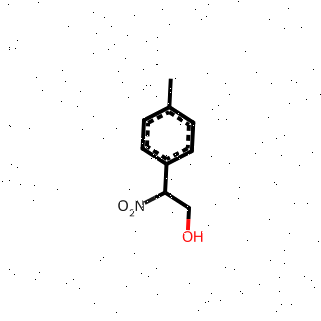 Cc1ccc(C(CO)[N+](=O)[O-])cc1